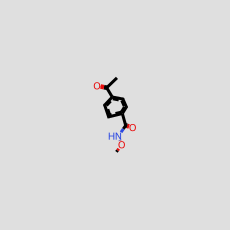 CONC(=O)c1ccc(C(C)=O)cc1